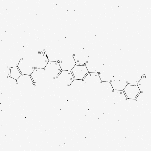 Cc1ccsc1C(=O)NC[C@H](NC(=O)c1c(C)nc(NCCCc2cccc(O)c2)nc1C)C(=O)O